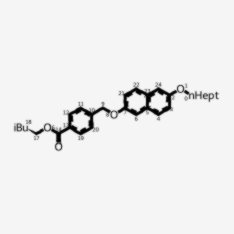 CCCCCCCOc1ccc2cc(OCc3ccc(C(=O)OC[C@H](C)CC)cc3)ccc2c1